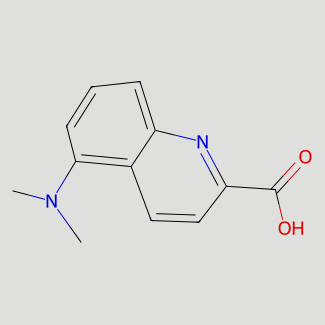 CN(C)c1cccc2nc(C(=O)O)ccc12